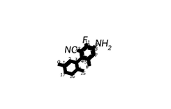 CC1=CC(c2c(C)cc(N)c(F)c2C#N)C(C)CC1